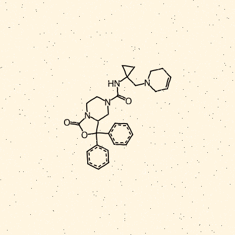 O=C(NC1(CN2CC=CCC2)CC1)N1CCN2C(=O)OC(c3ccccc3)(c3ccccc3)C2C1